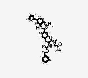 CN(C)C(=O)CN(C)C(=O)[C@H](Cc1ccc(C(=O)Nc2cc(-c3cccs3)ccc2N)cc1)NC(=O)OCc1ccccc1